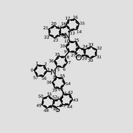 c1ccc(N(c2ccc(-c3cc(-n4c5ccccc5c5ccccc54)cc4c3oc3ccccc34)cc2)c2ccc(-c3cccc4sc5ccccc5c34)cc2)cc1